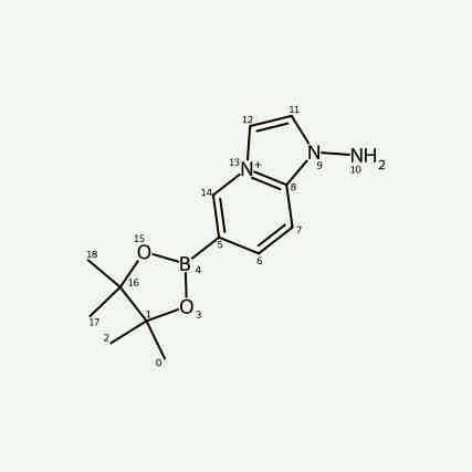 CC1(C)OB(c2ccc3n(N)cc[n+]3c2)OC1(C)C